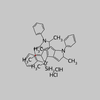 CC1=[C]([Zr]([CH3])(=[SiH2])([C]2=C(C)C=C3C2=CC(C)N3c2ccccc2)[c]2ccccc2)C2=CC(C)N(c3ccccc3)C2=C1.Cl.Cl